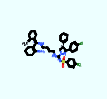 C=c1cccc/c1=C(\NCCCCN/C(=N/S(=O)(=O)c1ccc(Cl)cc1)N1C[C@H](c2ccccc2)C(c2ccc(Cl)cc2)=N1)C1=C(N)CCCC1